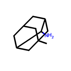 CC12CC3CC(C1)C(N)C(C3)C2